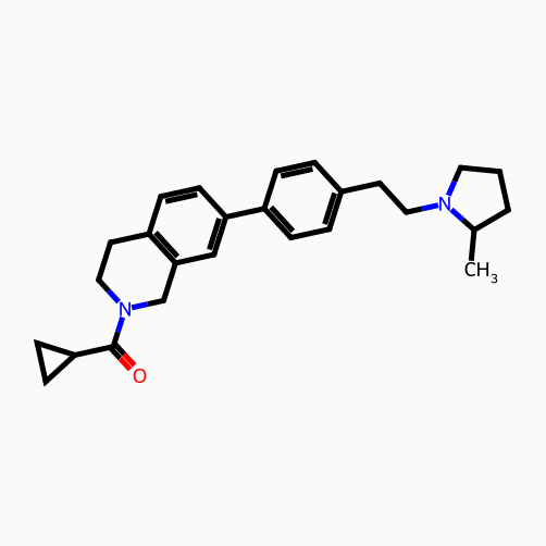 CC1CCCN1CCc1ccc(-c2ccc3c(c2)CN(C(=O)C2CC2)CC3)cc1